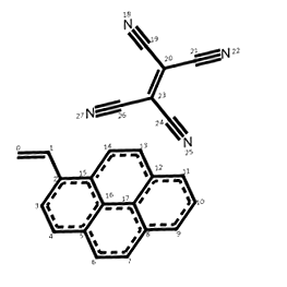 C=Cc1ccc2ccc3cccc4ccc1c2c34.N#CC(C#N)=C(C#N)C#N